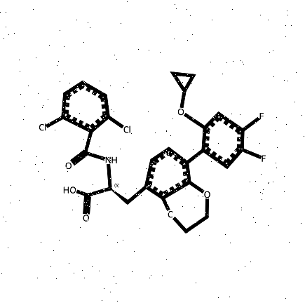 O=C(N[C@@H](Cc1ccc(-c2cc(F)c(F)cc2OC2CC2)c2c1CCCO2)C(=O)O)c1c(Cl)cccc1Cl